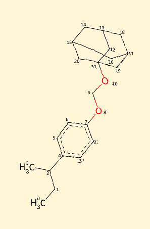 CCC(C)c1ccc(OCOC23CC4CC(CC(C4)C2)C3)cc1